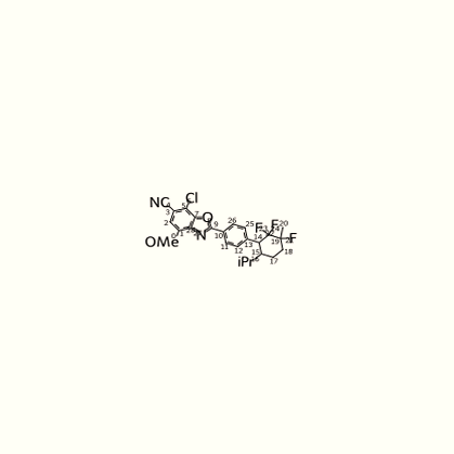 COc1cc(C#N)c(Cl)c2oc(-c3ccc(C4C(C(C)C)CCC(C)(F)C4(F)F)cc3)nc12